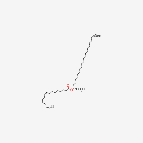 CC/C=C\C/C=C\C/C=C\CCCCCCCC(=O)OC(CCCCCCCCCCCCCCCCCCCCCCCCCCCCC)C(=O)O